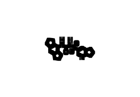 O=C(Nc1c2c(cc3c1CCC3)CCC2)NS(=O)(=O)c1cnc2c(c1)CCC2